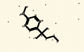 CCCC(C)(C)c1cnc(OC)cn1